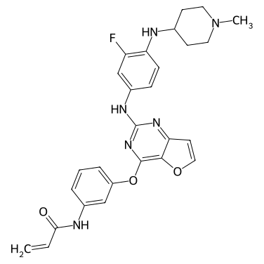 C=CC(=O)Nc1cccc(Oc2nc(Nc3ccc(NC4CCN(C)CC4)c(F)c3)nc3ccoc23)c1